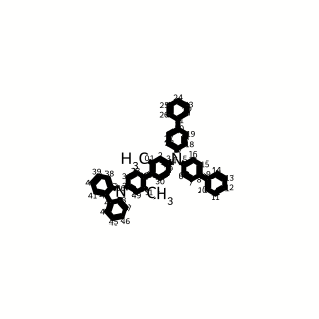 Cc1cc(N(c2ccc(-c3ccccc3)cc2)c2ccc(-c3ccccc3)cc2)ccc1-c1ccc(-n2c3ccccc3c3ccccc32)cc1C